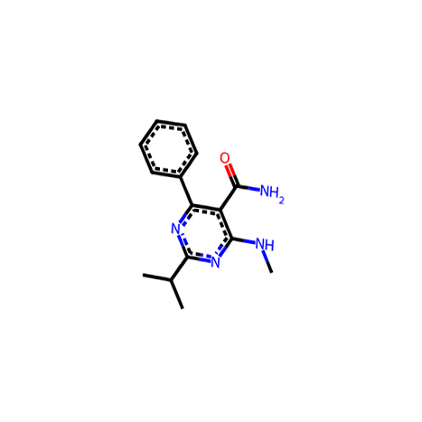 CNc1nc(C(C)C)nc(-c2ccccc2)c1C(N)=O